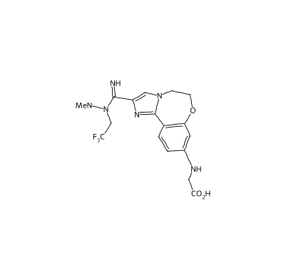 CNN(CC(F)(F)F)C(=N)c1cn2c(n1)-c1ccc(NCC(=O)O)cc1OCC2